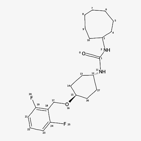 O=C(NC1CCCCCCC1)N[C@H]1CC[C@H](OCc2c(F)cccc2F)CC1